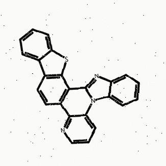 c1ccc2c(c1)nc1c3c(ccc4c5ccccc5sc43)c3ncccc3n21